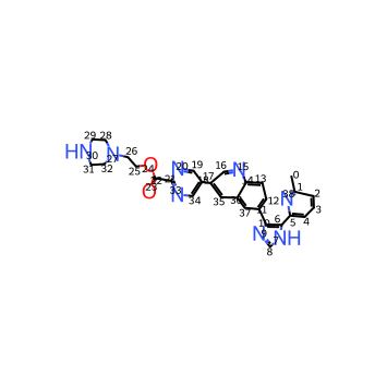 Cc1cccc(-c2[nH]cnc2-c2ccc3ncc(-c4cnc(C(=O)OCCN5CCNCC5)nc4)cc3c2)n1